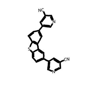 N#Cc1cncc(-c2ccc3sc4ccc(-c5cncc(C#N)c5)cc4c3c2)c1